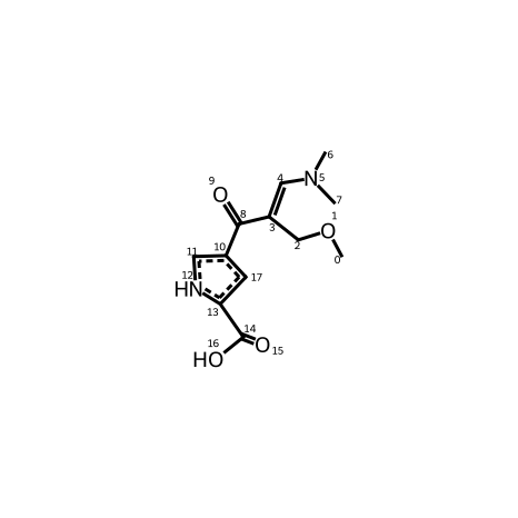 COCC(=CN(C)C)C(=O)c1c[nH]c(C(=O)O)c1